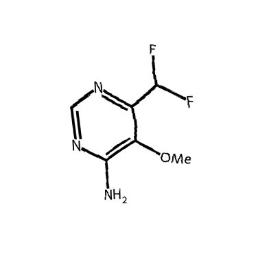 COc1c(N)ncnc1C(F)F